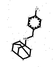 FC(F)(F)c1ccc(CNC23CC4CC(CC(C4)C2)C3)cc1